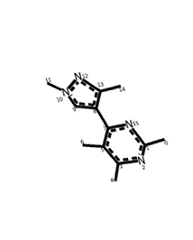 Cc1nc(C)c(C)c(-c2cn(C)nc2C)n1